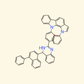 c1ccc(-c2ccc(C3NC(c4ccc(-n5c6ccccc6c6ccc7ccn(-c8ccccc8)c7c65)cc4)=Nc4ccccc43)c3ccccc23)cc1